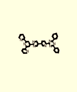 c1ccc(-c2nc(-c3ccccc3)nc(-c3ccc(-c4cnc(-c5cc(-c6ccccn6)nc(-c6ccccn6)c5)nc4)cn3)n2)cc1